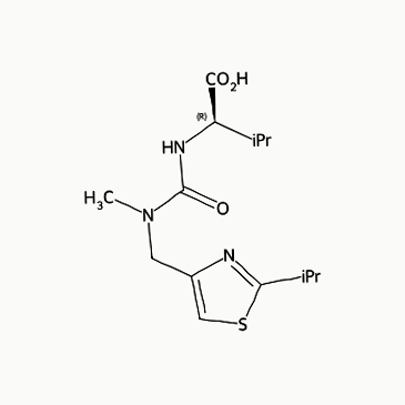 CC(C)c1nc(CN(C)C(=O)N[C@@H](C(=O)O)C(C)C)cs1